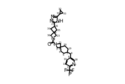 O=C(N1CC2(CCC(Cc3ccc(C(F)(F)F)nc3)CC2)C1)N1CC2(CC(c3nnc(C4CC4)[nH]3)C2)C1